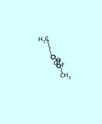 CCCCCCCCCc1ccc(C(=O)Oc2ccc(CCCC)c(F)c2F)cc1